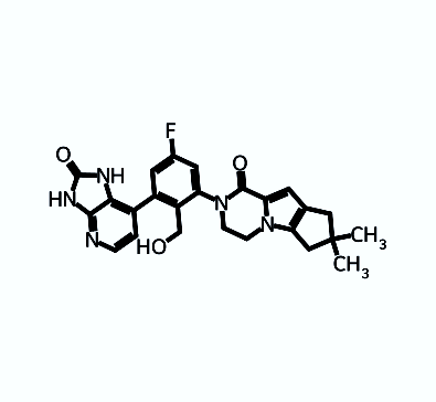 CC1(C)Cc2cc3n(c2C1)CCN(c1cc(F)cc(-c2ccnc4[nH]c(=O)[nH]c24)c1CO)C3=O